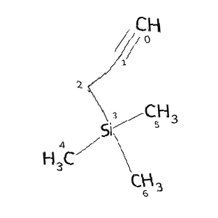 C#C[CH][Si](C)(C)C